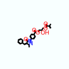 C=C(C)C(=O)OCC(O)COC(=O)c1ccc(N2N=C(C)/C(=C/c3ccccc3)C2=O)cc1